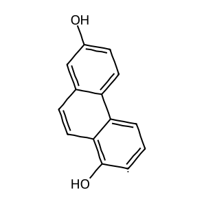 Oc1ccc2c(ccc3c(O)[c]ccc32)c1